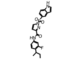 CCC(C)c1ccc(NC(=O)c2ccn(S(=O)(=O)c3ccc4[nH]ccc4c3)n2)cc1F